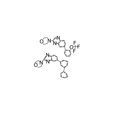 FC(F)(F)Oc1ccccc1-c1ccc2ncc(N3CCOCC3)nc2c1.c1ccc(-c2cccc(-c3ccc4ncc(N5CCOCC5)nc4c3)c2)cc1